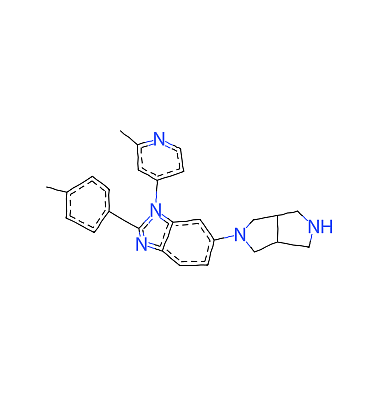 Cc1ccc(-c2nc3ccc(N4CC5CNCC5C4)cc3n2-c2ccnc(C)c2)cc1